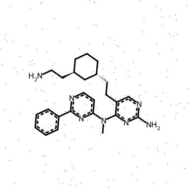 CN(c1ccnc(-c2ccccc2)n1)c1nc(N)ncc1CC[C@H]1CCC[C@H](CCN)C1